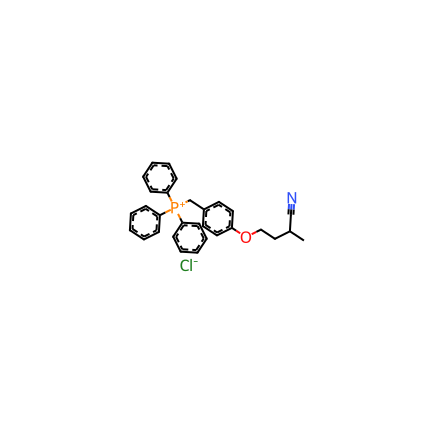 CC(C#N)CCOc1ccc(C[P+](c2ccccc2)(c2ccccc2)c2ccccc2)cc1.[Cl-]